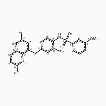 COc1cccc(S(=O)(=O)Nc2ccc(Cc3cc(C)nc4ccc(F)cc34)cc2F)c1